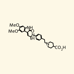 COc1cc2c(cc1OC)C(=CC(C)Nc1ccc(CCN3CCC(C(=O)O)CC3)cc1)C(=O)N2